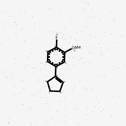 COc1cc(C2=CCCC2)ccc1F